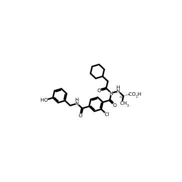 C[C@H](NN(C(=O)CC1CCCCC1)C(=O)c1ccc(C(=O)NCc2cccc(O)c2)cc1Cl)C(=O)O